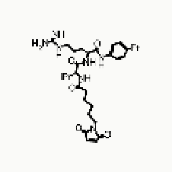 CCc1ccc(NC(=O)[C@H](CCCNC(=N)N)NC(=O)[C@@H](NC(=O)CCCCCN2C(=O)C=CC2=O)C(C)C)cc1